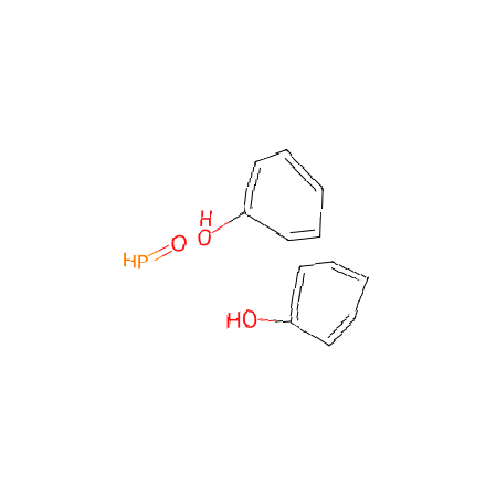 O=P.Oc1ccccc1.Oc1ccccc1